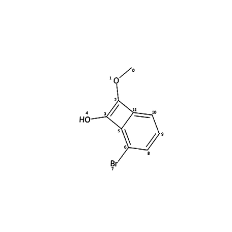 COC1=C(O)c2c(Br)cccc21